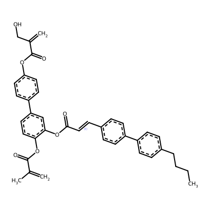 C=C(C)C(=O)Oc1ccc(-c2ccc(OC(=O)C(=C)CO)cc2)cc1OC(=O)/C=C/c1ccc(-c2ccc(CCCC)cc2)cc1